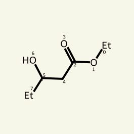 CCOC(=O)C[C](O)CC